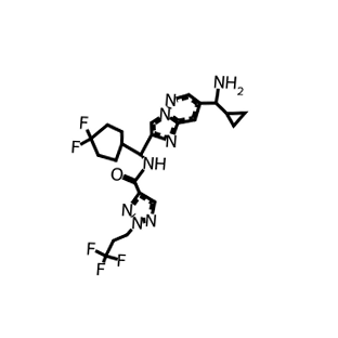 NC(c1cnn2cc([C@@H](NC(=O)c3cnn(CCC(F)(F)F)n3)C3CCC(F)(F)CC3)nc2c1)C1CC1